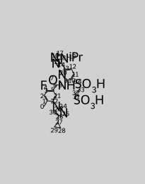 Cc1cc(F)c(C(=O)Nc2cccc(-c3nncn3C(C)C)n2)cc1-n1cnc(C2CC2)c1.O=S(=O)(O)CCS(=O)(=O)O